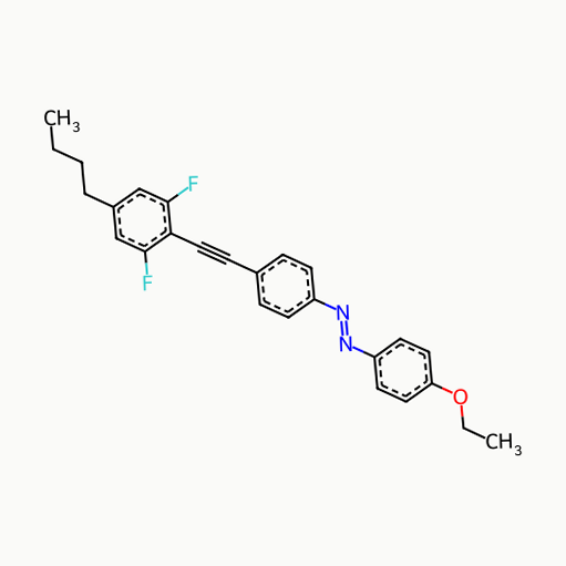 CCCCc1cc(F)c(C#Cc2ccc(N=Nc3ccc(OCC)cc3)cc2)c(F)c1